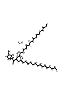 CCCCCCCCCCCCCCCCCC(=O)NC(CCCCCCCCCCCCCCCCC)C(C)[N+]1=CNCC1.[Cl-]